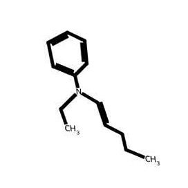 CCCC=CN(CC)c1ccccc1